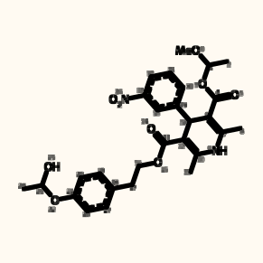 COC(C)OC(=O)C1=C(C)NC(C)=C(C(=O)OCCc2ccc(OC(C)O)cc2)C1c1cccc([N+](=O)[O-])c1